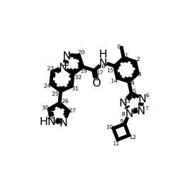 Cc1ccc(-c2nnn(C3CCC3)n2)cc1NC(=O)c1cnn2ccc(-c3cn[nH]c3)cc12